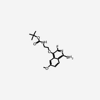 Bc1nc(F)c(OCCNC(=O)OC(C)(C)C)c2cc(OC)ccc12